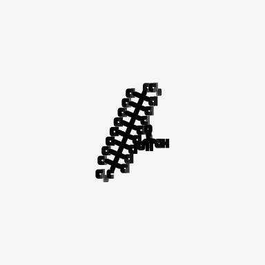 ClC(Cl)(Cl)C(Cl)(Cl)C(Cl)(Cl)C(Cl)(Cl)C(Cl)(Cl)C(Cl)(Cl)C(Cl)(Cl)C(Cl)(Cl)C(Cl)(Cl)C(Cl)(Cl)Cl.O=[SH](=O)O